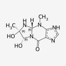 CN1c2[nH]cnc2C(=O)N2[C@@H]1N[C@](C)(O)[C@H]2O